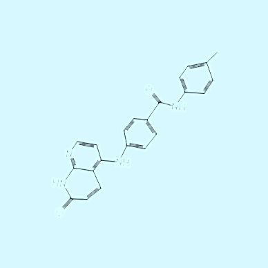 Cc1ccc(NC(=O)c2ccc(Nc3ccnc4[nH]c(=O)ccc34)cc2)cc1